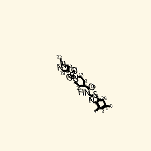 Cc1cc(C)c2nc(NC(=O)C3CCN(S(=O)(=O)c4cnn(C)c4)CC3)sc2c1